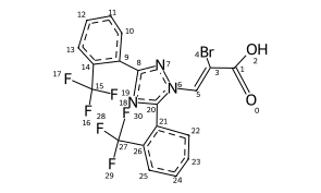 O=C(O)C(Br)=Cn1nc(-c2ccccc2C(F)(F)F)nc1-c1ccccc1C(F)(F)F